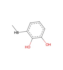 CBc1cccc(O)c1O